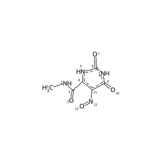 CNC(=O)c1[nH]c(=O)[nH]c(=O)c1N=O